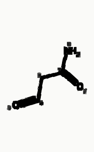 NC(=O)CC=O